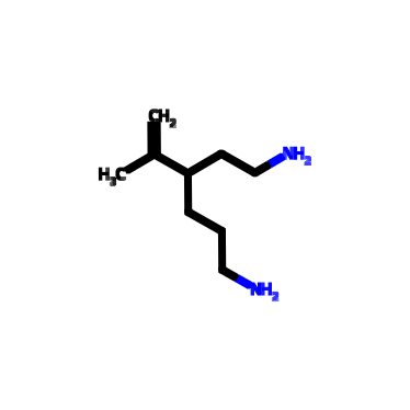 C=C(C)C(CCN)CCCN